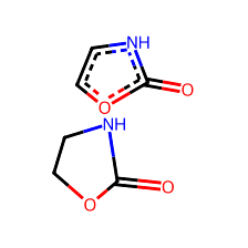 O=C1NCCO1.O=c1[nH]cco1